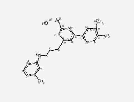 Cc1ccnc(NCCCc2cc(-c3ccc(C)c(C)c3)nc(C#N)n2)c1.Cl